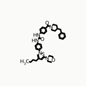 CCCCC1=CN(c2ccc(NC(=O)Nc3ccc(C(=O)N4CCC(Cc5ccccc5)CC4)cc3)cc2)SC(N2CCOCC2)=C1